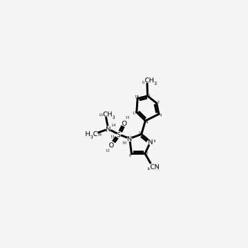 Cc1ccc(-c2nc(C#N)cn2S(=O)(=O)N(C)C)cc1